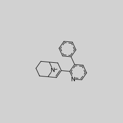 CN1C2C=C(c3ncccc3-c3ccccc3)CC1CCC2